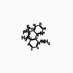 Nc1cccc(N)c1-c1ncccc1C(F)(F)F